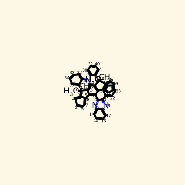 CC1(C)c2ccccc2-c2c(-c3nc4ccccc4nc3-c3ccccc3)c3c(c(N(c4ccccc4)c4ccccc4)c21)C(C)(C)c1ccccc1-3